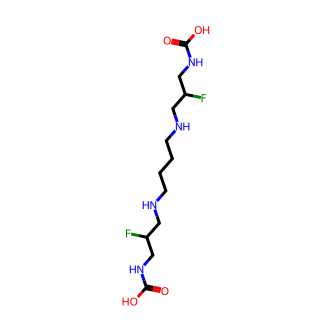 O=C(O)NCC(F)CNCCCCNCC(F)CNC(=O)O